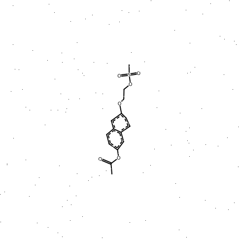 CC(=O)Oc1ccc2cc(OCCOS(C)(=O)=O)ccc2c1